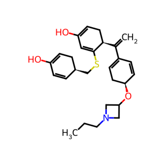 C=C(C1=CC[C@H](OC2CN(CCC)C2)C=C1)[C@@H]1CC=C(O)C=C1SC[C@H]1C=CC(O)=CC1